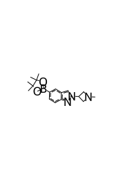 CN1CC(n2cc3cc(B4OC(C)(C)C(C)(C)O4)ccc3n2)C1